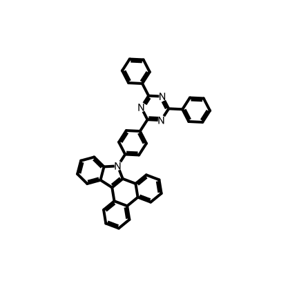 c1ccc(-c2nc(-c3ccccc3)nc(-c3ccc(-n4c5ccccc5c5c6ccccc6c6ccccc6c54)cc3)n2)cc1